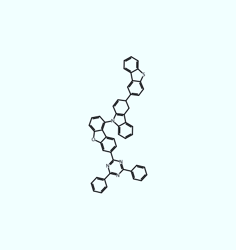 C1=CC(c2ccc3sc4ccccc4c3c2)Cc2c1n(-c1cccc3oc4cc(-c5nc(-c6ccccc6)nc(-c6ccccc6)n5)ccc4c13)c1ccccc21